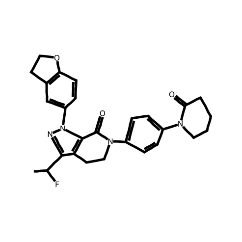 CC(F)c1nn(-c2ccc3c(c2)CCO3)c2c1CCN(c1ccc(N3CCCCC3=O)cc1)C2=O